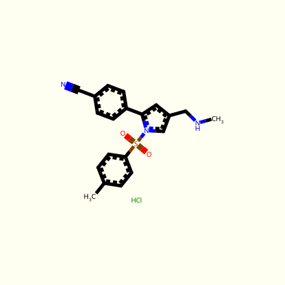 CNCc1cc(-c2ccc(C#N)cc2)n(S(=O)(=O)c2ccc(C)cc2)c1.Cl